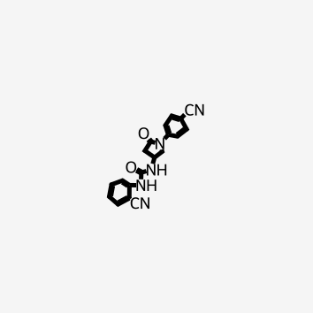 N#Cc1ccc(N2CC(NC(=O)Nc3ccccc3C#N)CC2=O)cc1